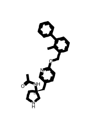 CC(=O)N[C@@]1(Cc2ccc(OCc3cccc(-c4ccccc4)c3C)nc2)CCNC1